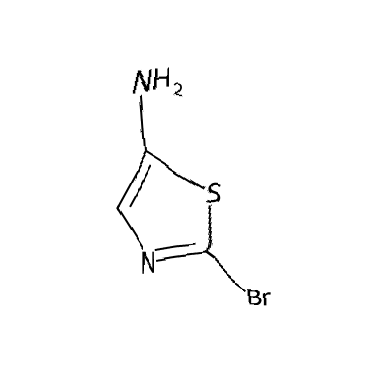 Nc1cnc(Br)s1